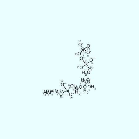 O.O.O.O.O.O.O.[Al+3].[Al+3].[Al+3].[Al+3].[O-][Si]([O-])([O-])[O-].[O-][Si]([O-])([O-])[O-].[O-][Si]([O-])([O-])[O-]